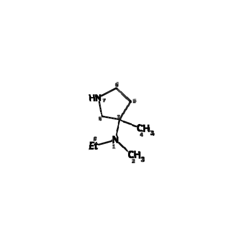 CCN(C)C1(C)CCNC1